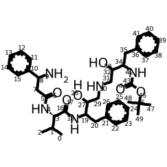 CC(C)[C@H](NC(=O)CC(N)c1ccccc1)C(=O)NC(Cc1ccccc1)C(O)CNCC(O)C(Cc1ccccc1)NC(=O)OC(C)(C)C